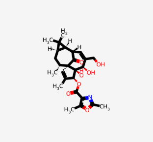 CC1=C[C@]23C(=O)[C@@H](C=C(CO)[C@@H](O)[C@]2(O)[C@H]1OC(=O)c1nc(C)oc1C)[C@H]1[C@@H](C[C@H]3C)C1(C)C